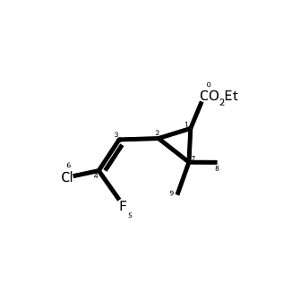 CCOC(=O)C1C(/C=C(\F)Cl)C1(C)C